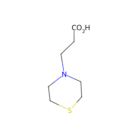 O=C(O)CCN1CCSCC1